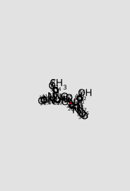 COc1cccc(-c2nc(N3CCOCC3)nc3ccc(C(=O)OC(=O)c4ccc5nc(N6CCOCC6)nc(-c6ccc(O)cc6)c5n4)nc23)c1